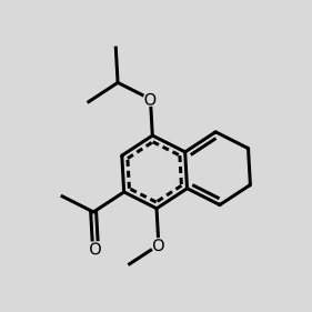 COc1c(C(C)=O)cc(OC(C)C)c2c1=CCCC=2